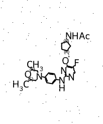 CC(=O)N[C@H]1CC[C@@H](COc2nc(Nc3ccc(N4C[C@@H](C)O[C@@H](C)C4)cc3)ncc2F)C1